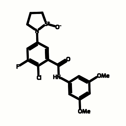 COc1cc(NC(=O)c2cc(N3CCC[S+]3[O-])cc(F)c2Cl)cc(OC)c1